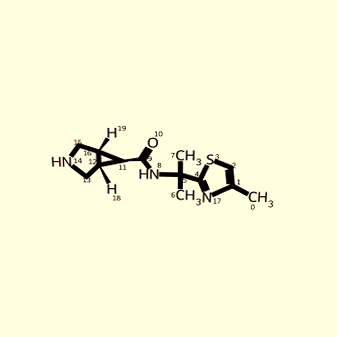 Cc1csc(C(C)(C)NC(=O)[C@H]2[C@@H]3CNC[C@@H]32)n1